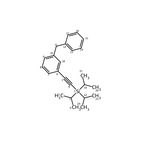 CC(C)[Si](C#Cc1c[c]cc(Cc2ccccc2)c1)(C(C)C)C(C)C